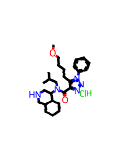 COCCCCc1c(C(=O)N(CC(C)C)C2CNCC3CCCCC32)nnn1-c1ccccc1.Cl